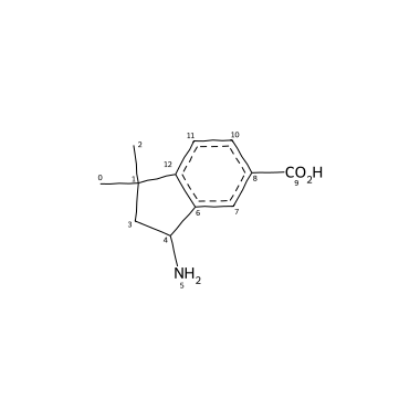 CC1(C)CC(N)c2cc(C(=O)O)ccc21